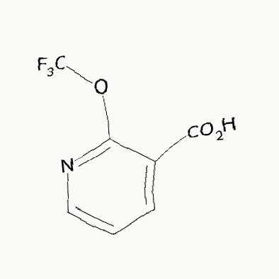 O=C(O)c1cccnc1OC(F)(F)F